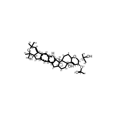 CC(=O)O[C@H]1C=C2C(CC[C@@]3(C)[C@@]2(O)CCC2Cc4c([nH]c5cc6c(cc45)C[C@H]4C6=CC(C)(C)OC4(C)C)[C@@]23C)O[C@@H]1C(C)(C)O